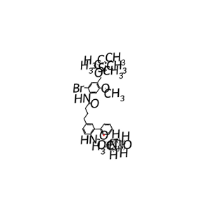 COc1cc(NC(=O)CCCc2ccc(NC(=O)O[C@@H]3C[C@@H]4[C@H]5O[C@H]5[C@H](C3)N4C)c(-c3ccccc3)c2)c(Br)cc1CO[Si](C)(C)C(C)(C)C